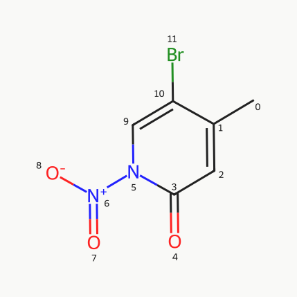 Cc1cc(=O)n([N+](=O)[O-])cc1Br